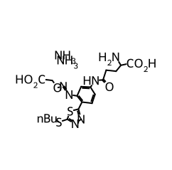 CCCCSc1nnc(-c2ccc(NC(=O)CCC(N)C(=O)O)cc2/N=N/OCC(=O)O)s1.N.N